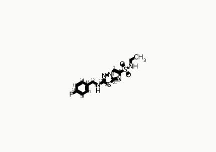 CCNS(=O)(=O)c1cn2nc(NCc3ccc(F)cc3)sc2n1